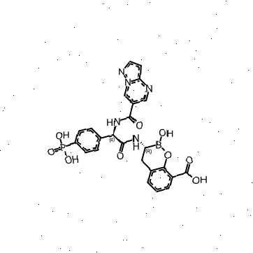 O=C(N[C@@H](C(=O)N[C@H]1Cc2cccc(C(=O)O)c2OB1O)c1ccc(P(=O)(O)O)cc1)c1cnc2ccnn2c1